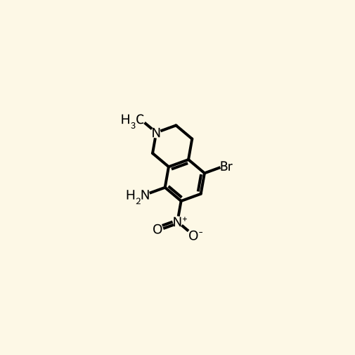 CN1CCc2c(Br)cc([N+](=O)[O-])c(N)c2C1